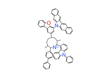 CC1CC(c2cc(-n3c4cc5ccccc5cc4c4cc5ccccc5cc43)c3oc4ccccc4c3c2)CCC(C)C(c2ccc(-c3ccccc3)cc2)/N=C\1c1cccc2c1c1ccccc1n2-c1ccccc1